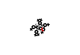 Cc1cc2c3c(c1)N(c1ccc4c(c1)C(C)(C)CC4(C)C)c1c(sc4ccc(C(C)(C)C)cc14)B3c1cc3c(cc1N2c1ccc(C(C)(C)C)cc1-c1ccc(C(C)(C)C)cc1)C(C)(C)CC3(C)C